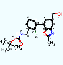 Cc1nc2cc(CO)cc(-c3cccc(CNC(=O)OC(C)(C)C)c3F)c2o1